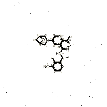 Cc1c(C#N)cccc1[C@@H](C)Nc1nnc(C)c2ncc(N3CC4CC(C3)O4)cc12